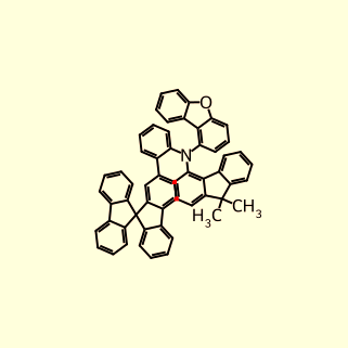 CC1(C)c2ccccc2-c2c(N(c3ccccc3-c3ccc4c(c3)C3(c5ccccc5-c5ccccc53)c3ccccc3-4)c3cccc4oc5ccccc5c34)cccc21